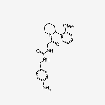 COc1ccccc1C1CCCCN1C(=O)CNC(=O)NCc1ccc(N)cc1